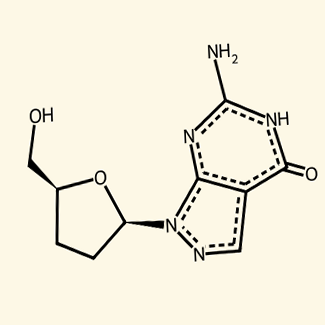 Nc1nc2c(cnn2[C@H]2CC[C@@H](CO)O2)c(=O)[nH]1